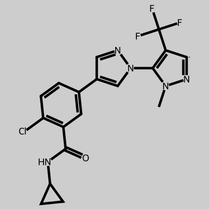 Cn1n[c]c(C(F)(F)F)c1-n1cc(-c2ccc(Cl)c(C(=O)NC3CC3)c2)cn1